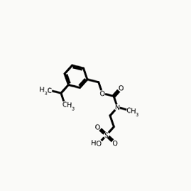 CC(C)c1cccc(COC(=O)N(C)CCS(=O)(=O)O)c1